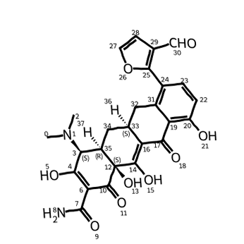 CN(C)[C@@H]1C(O)=C(C(N)=O)C(=O)[C@@]2(O)C(O)=C3C(=O)c4c(O)ccc(-c5occc5C=O)c4C[C@@H]3C[C@H]12